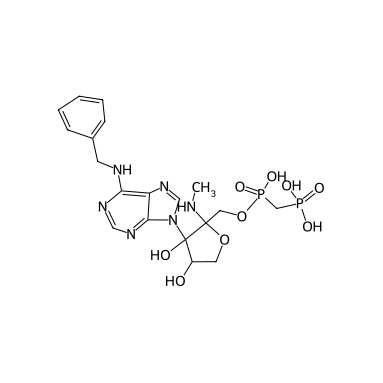 CNC1(COP(=O)(O)CP(=O)(O)O)OCC(O)C1(O)n1cnc2c(NCc3ccccc3)ncnc21